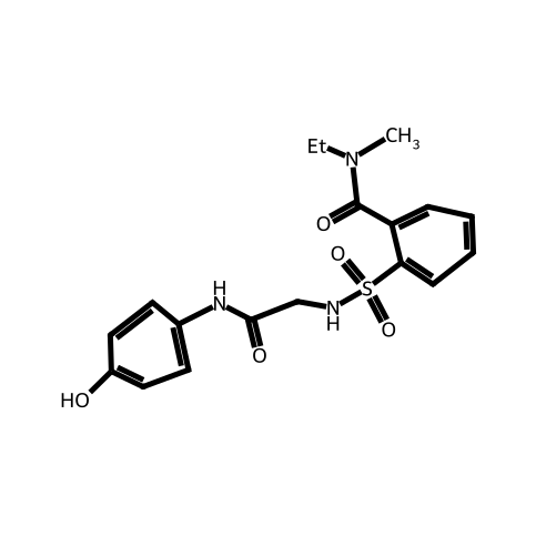 CCN(C)C(=O)c1ccccc1S(=O)(=O)NCC(=O)Nc1ccc(O)cc1